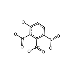 [O]c1ccc([N+](=O)[O-])c([N+](=O)[O-])c1[N+](=O)[O-]